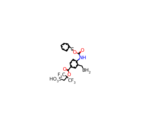 BCc1cc(C(=O)OC(CS(=O)(=O)O)(C(F)(F)F)C(F)(F)F)ccc1NC(=O)OCc1ccccc1